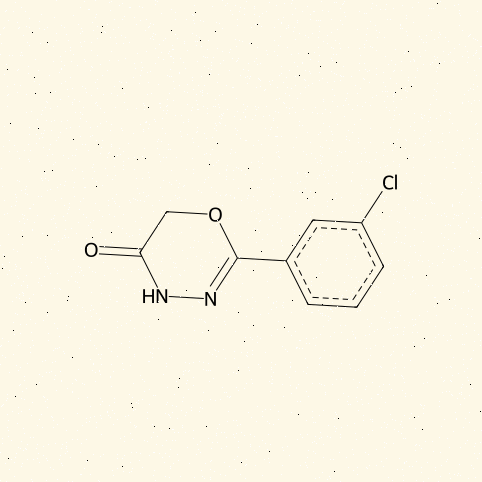 O=C1COC(c2cccc(Cl)c2)=NN1